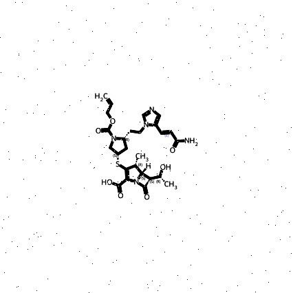 C=CCOC(=O)N1C[C@@H](SC2=C(C(=O)O)N3C(=O)[C@H]([C@@H](C)O)[C@H]3[C@H]2C)C[C@H]1CCn1cncc1/C=C/C(N)=O